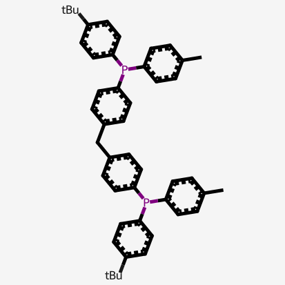 Cc1ccc(P(c2ccc(Cc3ccc(P(c4ccc(C)cc4)c4ccc(C(C)(C)C)cc4)cc3)cc2)c2ccc(C(C)(C)C)cc2)cc1